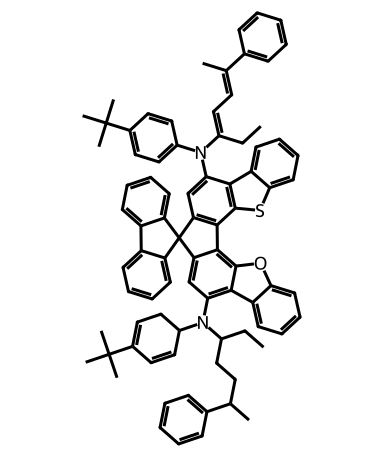 CC/C(=C\C=C(/C)c1ccccc1)N(c1ccc(C(C)(C)C)cc1)c1cc2c(c3sc4ccccc4c13)-c1c(cc(N(C3C=CC(C(C)(C)C)=CC3)C(CC)CCC(C)c3ccccc3)c3c1oc1ccccc13)C21c2ccccc2-c2ccccc21